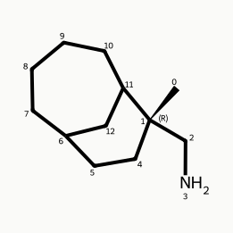 C[C@@]1(CN)CCC2CCCCC1C2